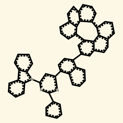 c1ccc(-c2nc(-c3ccc(-c4cc5ccc6cccc7c8cccc9ccc%10cccc(c(c4)c5c67)c%10c98)c4ccccc34)cc(-n3c4ccccc4c4ccccc43)n2)cc1